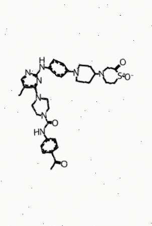 CC(=O)c1ccc(NC(=O)N2CCN(c3nc(Nc4ccc(N5CCC(N6CC[S+]([O-])C(=O)C6)CC5)cc4)ncc3C)CC2)cc1